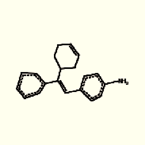 Nc1ccc(/C=C(/c2ccccc2)C2CC=CCC2)cc1